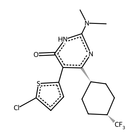 CN(C)c1nc([C@H]2CC[C@@H](C(F)(F)F)CC2)c(-c2ccc(Cl)s2)c(=O)[nH]1